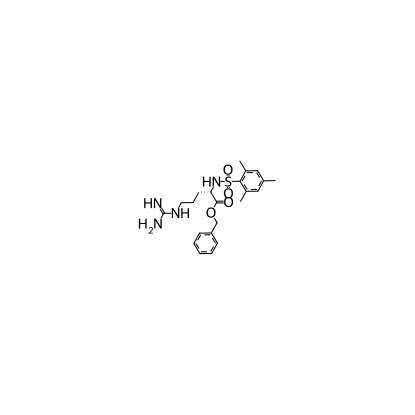 Cc1cc(C)c(S(=O)(=O)N[C@@H](CCCNC(=N)N)C(=O)OCc2ccccc2)c(C)c1